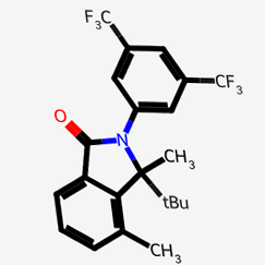 Cc1cccc2c1C(C)(C(C)(C)C)N(c1cc(C(F)(F)F)cc(C(F)(F)F)c1)C2=O